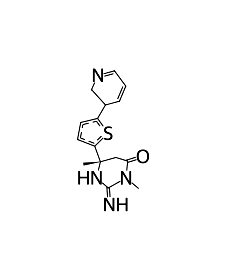 CN1C(=N)N[C@](C)(c2ccc(C3C=CC=NC3)s2)CC1=O